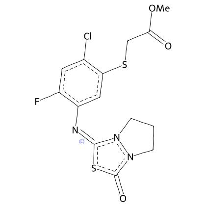 COC(=O)CSc1cc(/N=c2/sc(=O)n3n2CCC3)c(F)cc1Cl